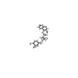 Cl.Fc1ccc(OC2CC(NCc3c(F)ccc4cnccc34)C2)cc1F